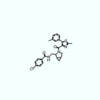 Cc1cccc(-c2sc(C)nc2C(=O)N2CC3CC3C2CNC(=O)c2ccc(Cl)cc2)c1